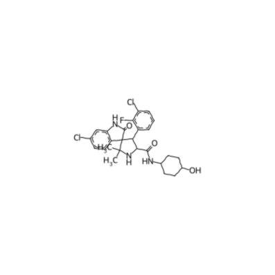 CC1(C)NC(C(=O)NC2CCC(O)CC2)C(c2cccc(Cl)c2F)C12C(=O)Nc1cc(Cl)ccc12